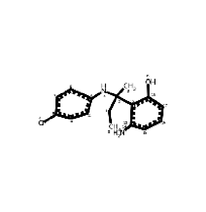 CCC(C)(Nc1ccc(Cl)cc1)c1c(N)cccc1O